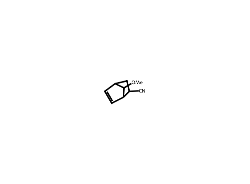 COC1C2C=CC1C(C#N)C2